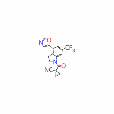 N#CC1(C(=O)N2CCc3c(-c4cnco4)cc(C(F)(F)F)cc32)CC1